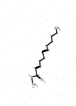 CCCCC/C=C/CC/C=C/C(=O)OC